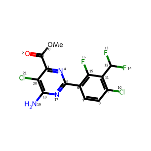 COC(=O)c1nc(-c2ccc(Cl)c(C(F)F)c2F)nc(N)c1Cl